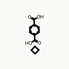 C1CCC1.O=C(O)c1ccc(C(=O)O)cc1